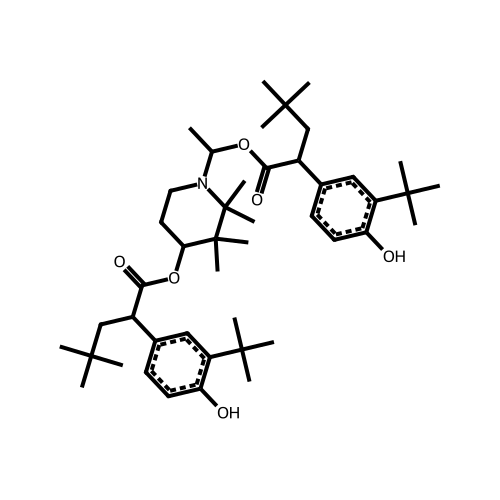 CC(OC(=O)C(CC(C)(C)C)c1ccc(O)c(C(C)(C)C)c1)N1CCC(OC(=O)C(CC(C)(C)C)c2ccc(O)c(C(C)(C)C)c2)C(C)(C)C1(C)C